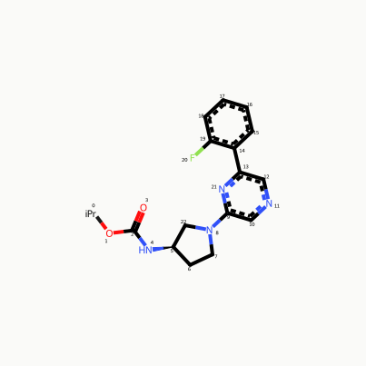 CC(C)OC(=O)N[C@@H]1CCN(c2cncc(-c3ccccc3F)n2)C1